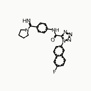 N=C(c1ccc(NC(=O)c2nnnn2-c2ccc3cc(F)ccc3c2)cc1)N1CCCC1